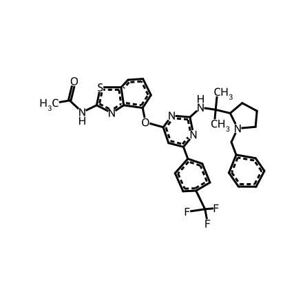 CC(=O)Nc1nc2c(Oc3cc(-c4ccc(C(F)(F)F)cc4)nc(NC(C)(C)C4CCCN4Cc4ccccc4)n3)cccc2s1